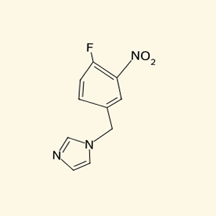 O=[N+]([O-])c1cc(Cn2ccnc2)ccc1F